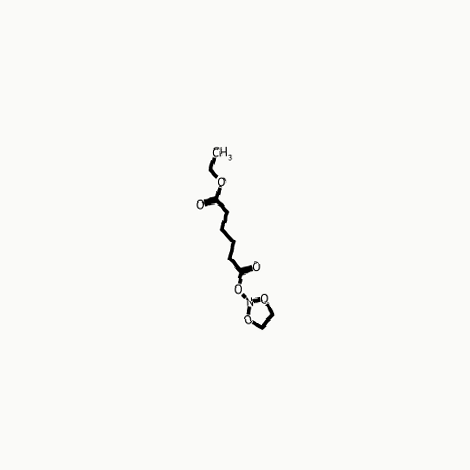 CCOC(=O)CCCCC(=O)ON1OCCO1